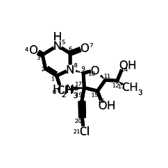 Cc1cc(=O)[nH]c(=O)n1[C@@H]1O[C@H]([C@@H](C)O)C(O)[C@]1(N)C#CCl